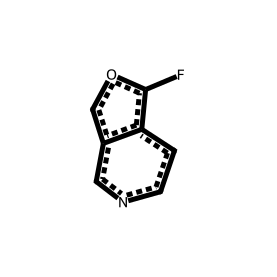 Fc1occ2cnccc12